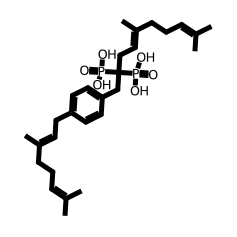 CC(C)=CCC/C(C)=C/Cc1ccc(CC(C/C=C(\C)CCC=C(C)C)(P(=O)(O)O)P(=O)(O)O)cc1